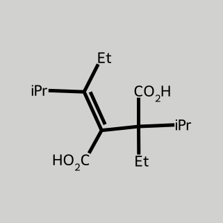 CCC(=C(C(=O)O)C(CC)(C(=O)O)C(C)C)C(C)C